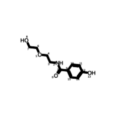 O=C(NCCOCCO)c1c[c]c(O)cc1